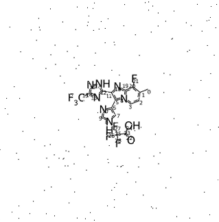 Cc1ccn2c(-c3c[nH]cn3)c(-c3nc(C(F)(F)F)n[nH]3)nc2c1F.O=C(O)C(F)(F)F